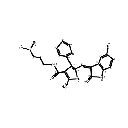 CCN(CC)CCCNC(=O)c1c(C)[nH]c(/C=C2\C(=O)Nc3ccc(Br)cc32)c1-c1ccccc1